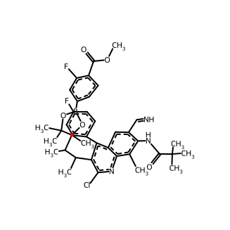 COC(=O)c1ccc(B2OC(C)(C)C(C)(C(C)C(C)c3c(Cl)nc4c(C)c(NC(=O)C(C)(C)C)c(C=N)cc4c3-c3ccc(F)cc3)O2)cc1F